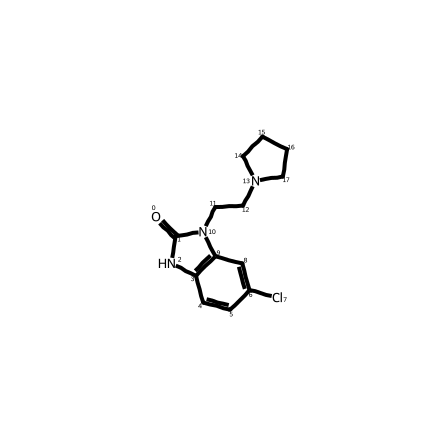 O=c1[nH]c2ccc(Cl)cc2n1CCN1CCCC1